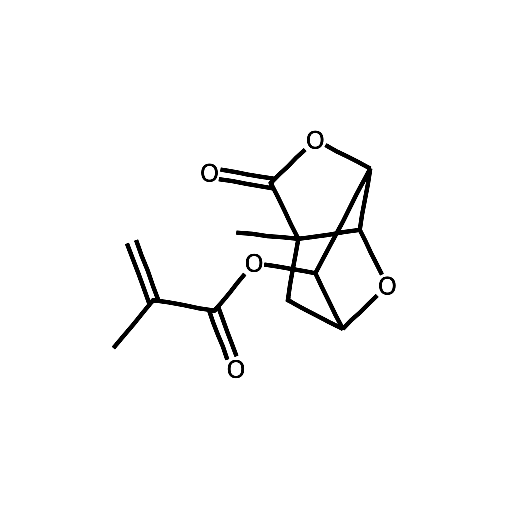 C=C(C)C(=O)OC1C2CC3(C)C(=O)OC1C3O2